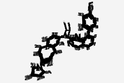 Fc1[c]cc(-c2cccc3cnc(Nc4ccc5c(c4)CC[C@@H](N4CCCC4)CC5)nc23)cc1